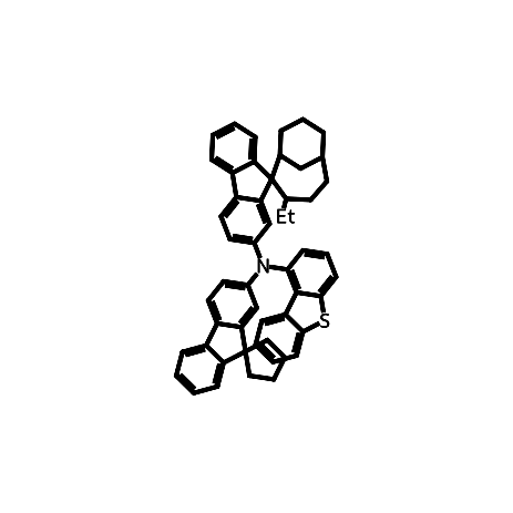 CCC1CCC2CCCC(C2)C12c1ccccc1-c1ccc(N(c3ccc4c(c3)C3(CCCC3)c3ccccc3-4)c3cccc4sc5ccccc5c34)cc12